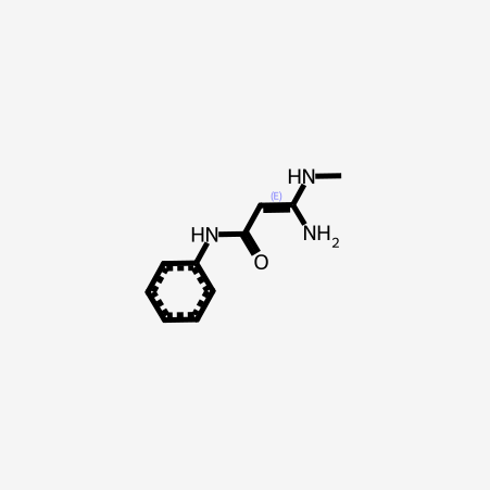 CN/C(N)=C/C(=O)Nc1ccccc1